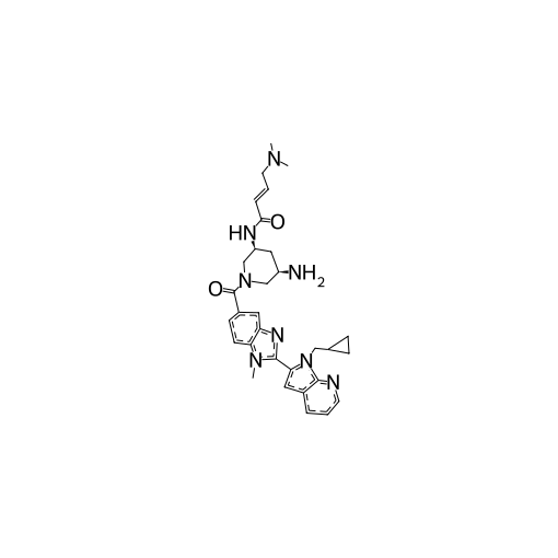 CN(C)C/C=C/C(=O)N[C@H]1C[C@@H](N)CN(C(=O)c2ccc3c(c2)nc(-c2cc4cccnc4n2CC2CC2)n3C)C1